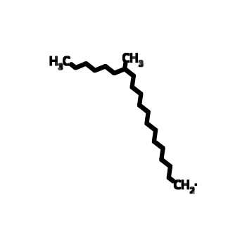 [CH2]CCCCCCCCCCCCC(C)CCCCCC